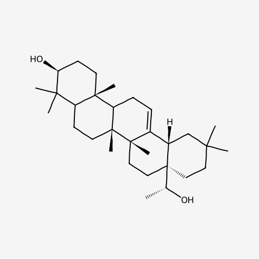 C[C@@H](O)[C@]12CCC(C)(C)C[C@H]1C1=CCC3[C@@]4(C)CC[C@H](O)C(C)(C)C4CC[C@@]3(C)[C@@]1(C)CC2